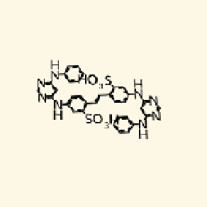 O=S(=O)(O)c1cc(Nc2cc(Nc3ccccc3)ncn2)ccc1C=Cc1ccc(Nc2cc(Nc3ccccc3)ncn2)cc1S(=O)(=O)O